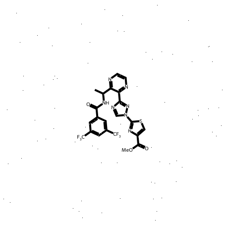 COC(=O)c1csc(-n2cnc(-c3nccnc3C(C)NC(=O)c3cc(C(F)(F)F)cc(C(F)(F)F)c3)n2)n1